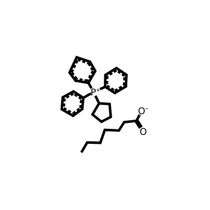 CCCCCCC(=O)[O-].c1ccc([P+](c2ccccc2)(c2ccccc2)C2CCCC2)cc1